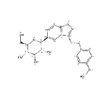 COc1ccc(CCc2csc3ccc([C@@H]4O[C@H](CO)[C@@H](O)[C@H](O)[C@H]4O)cc23)cc1